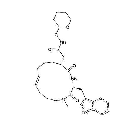 CN1CCC/C=C/CCC[C@H](CC(=O)NOC2CCCCO2)C(=O)N[C@@H](Cc2c[nH]c3ccccc23)C1=O